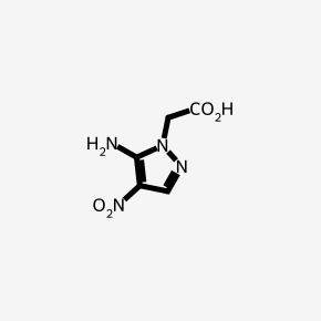 Nc1c([N+](=O)[O-])cnn1CC(=O)O